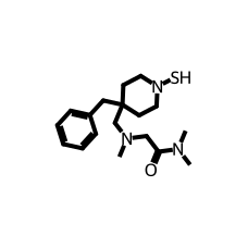 CN(CC(=O)N(C)C)CC1(Cc2ccccc2)CCN(S)CC1